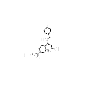 COC(=O)c1ccc2c(NCc3ccccc3)cc(Cl)nc2c1